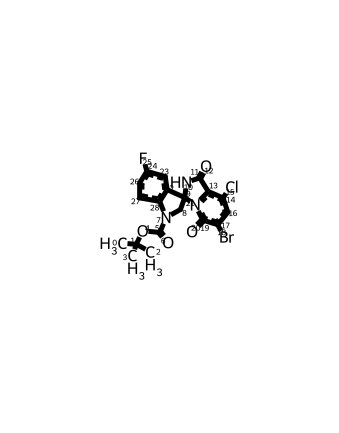 CC(C)(C)OC(=O)N1CC2(NC(=O)c3c(Cl)cc(Br)c(=O)n32)c2cc(F)ccc21